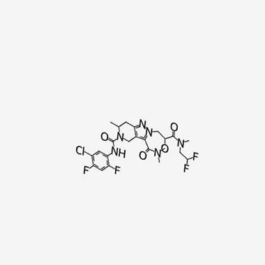 CC1Cc2nn3c(c2CN1C(=O)Nc1cc(Cl)c(F)cc1F)C(=O)N(C)OC(C(=O)N(C)CC(F)F)C3